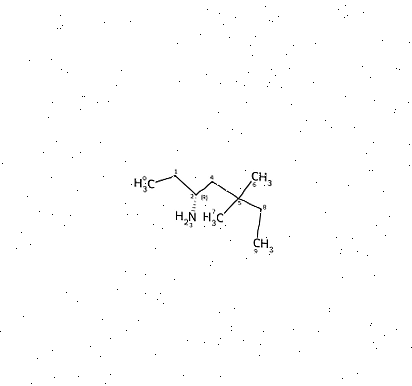 CC[C@@H](N)CC(C)(C)CC